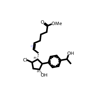 COC(=O)CCC/C=C\C[C@H]1C(Cl)C[C@@H](O)C1c1ccc(C(C)O)cc1